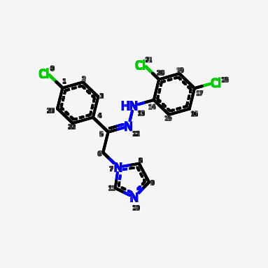 Clc1ccc(/C(Cn2ccnc2)=N\Nc2ccc(Cl)cc2Cl)cc1